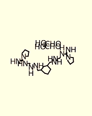 N=C(NCNNCC1CCCC(CNNCNC(=N)N2CCCC2)C1)N1CCCC1.O=CO.O=CO